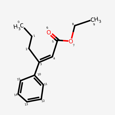 CCC/C(=C\C(=O)OCC)c1ccccc1